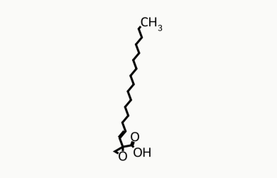 CCCCCCCCCCCCCC/C=C/C1(C(=O)O)CO1